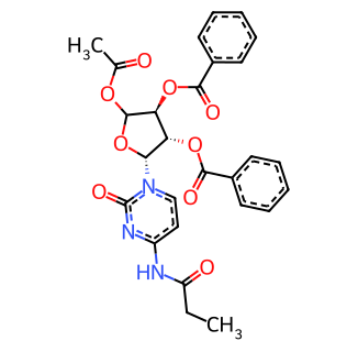 CCC(=O)Nc1ccn([C@@H]2OC(OC(C)=O)[C@@H](OC(=O)c3ccccc3)[C@@H]2OC(=O)c2ccccc2)c(=O)n1